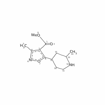 COC(=O)c1c(C)noc1C1CCNC(C)C1